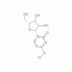 CCOc1ccn([C@@H]2O[C@H](CO)C(O)C2O)c(=O)n1